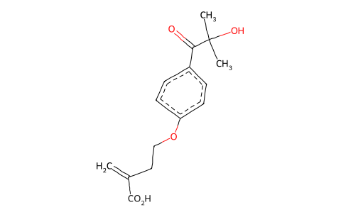 C=C(CCOc1ccc(C(=O)C(C)(C)O)cc1)C(=O)O